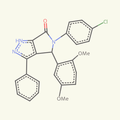 COc1ccc(OC)c(C2c3c(-c4ccccc4)n[nH]c3C(=O)N2c2ccc(Cl)cc2)c1